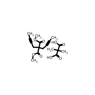 CC#CCC(CC#CC)(C(=O)OC)C(=O)OC.CC(C)(C(=O)O)C(=O)O